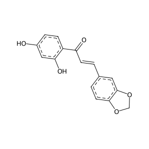 O=C(/C=C/c1ccc2c(c1)OCO2)c1ccc(O)cc1O